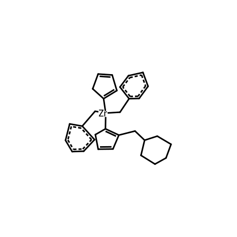 C1=CC[C]([Zr]([CH2]c2ccccc2)([CH2]c2ccccc2)[C]2=C(CC3CCCCC3)C=CC2)=C1